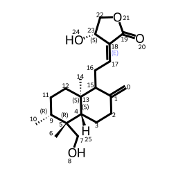 C=C1CC[C@@H]2[C@](C)(CO)[C@H](C)CC[C@@]2(C)C1C/C=C1/C(=O)OC[C@H]1O